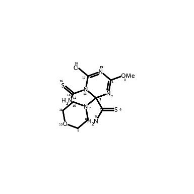 COC1=NC(C(N)=S)(N2CCOCC2)N(C(N)=S)C(Cl)=N1